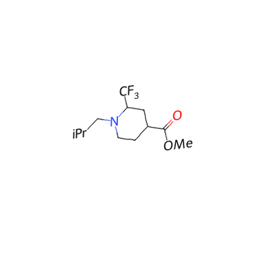 COC(=O)C1CCN(CC(C)C)C(C(F)(F)F)C1